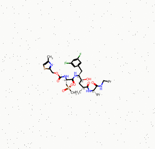 Cc1csc(COC(=O)N[C@@H](CS(C)(=O)=O)C(=O)N[C@@H](Cc2cc(F)cc(F)c2)[C@@H](O)C[C@@H](C)C(=O)N[C@H](C(=O)NCC(C)C)C(C)C)n1